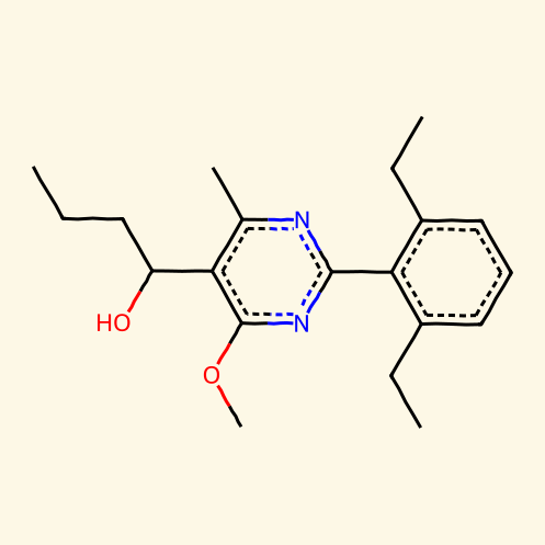 CCCC(O)c1c(C)nc(-c2c(CC)cccc2CC)nc1OC